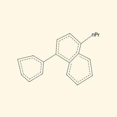 [CH2]CCc1ccc(-c2ccccc2)c2ccccc12